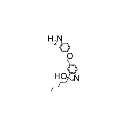 CCCCCC1(O)C=Nc2ccc(COc3ccc(N)cc3)cc21